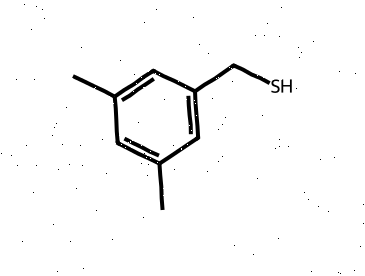 Cc1cc(C)cc(CS)c1